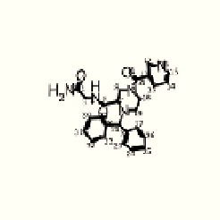 NC(=O)CNC(=O)C1CN(C(=O)c2cccnc2)CCN1C(c1ccccc1)c1ccccc1